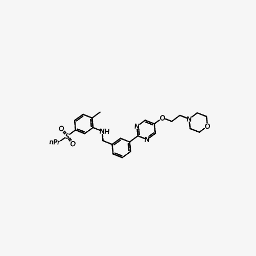 CCCS(=O)(=O)c1ccc(C)c(NCc2cccc(-c3ncc(OCCN4CCOCC4)cn3)c2)c1